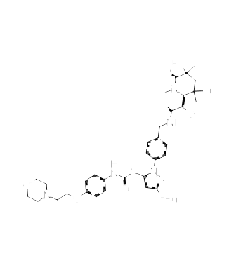 CCC1(C)CC(C)(CC)/C(=C(\O)C(=O)NCc2ccc(-n3nc(C(C)(C)C)cc3NC(=O)Nc3ccc(OCCN4CCOCC4)cc3)cc2)N(C)C1=O